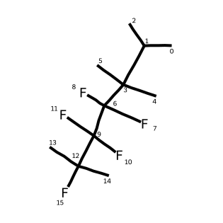 CC(C)C(C)(C)C(F)(F)C(F)(F)C(C)(C)F